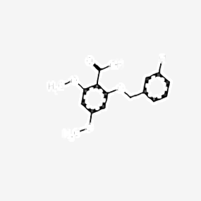 COc1cc(OC)c(C(=O)O)c(OCc2cccc(Cl)c2)c1